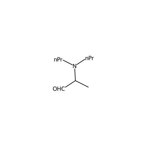 CCCN(CCC)C(C)C=O